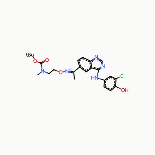 C/C(=N\OCCN(C)C(=O)OC(C)(C)C)c1ccc2ncnc(Nc3ccc(O)c(Cl)c3)c2c1